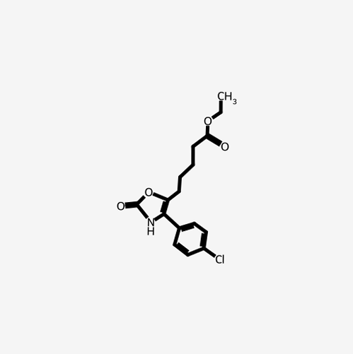 CCOC(=O)CCCCc1oc(=O)[nH]c1-c1ccc(Cl)cc1